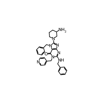 NC1CCCN(c2nc3nc(NCc4ccccc4)n(Cc4ccncc4)c(=O)c3n2Cc2ccccc2)C1